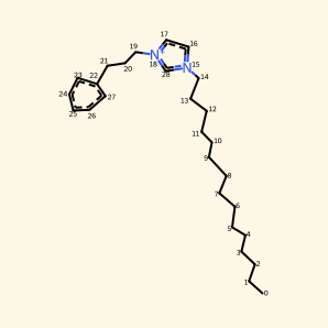 CCCCCCCCCCCCCCCn1cc[n+](CCCc2ccccc2)c1